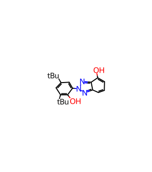 CC(C)(C)c1cc(-n2nc3cccc(O)c3n2)c(O)c(C(C)(C)C)c1